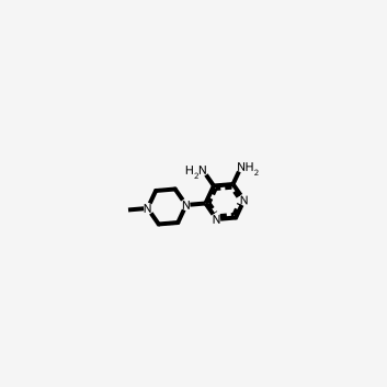 CN1CCN(c2ncnc(N)c2N)CC1